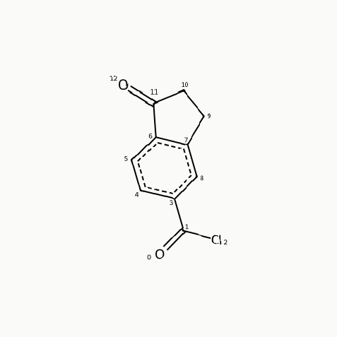 O=C(Cl)c1ccc2c(c1)CCC2=O